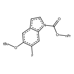 CCCOC(=O)n1ccc2cc(OC(C)(C)C)c(F)cc21